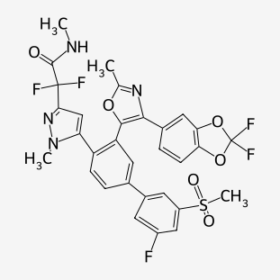 CNC(=O)C(F)(F)c1cc(-c2ccc(-c3cc(F)cc(S(C)(=O)=O)c3)cc2-c2oc(C)nc2-c2ccc3c(c2)OC(F)(F)O3)n(C)n1